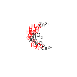 CC(=O)[O-].CC(=O)[O-].O.O.O.O.O.O.O=[N+]([O-])[O-].O=[N+]([O-])[O-].[Ca+2].[Zn+2]